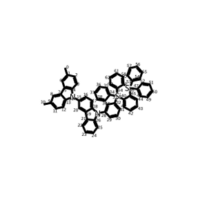 Cc1ccc2c(c1)c1cc(C)ccc1n2-c1ccc2c(c1)c1ccccc1n2-c1cccc([Si]2(c3ccccc3)c3ccccc3[Si](c3ccccc3)(c3ccccc3)c3ccccc32)c1